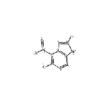 Cc1cc2c([N+](=O)[O-])c(Cl)ccc2[nH]1